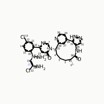 C[C@@H]1CCC[C@H](n2cnc(-c3cc(Cl)ccc3N(N)/C=C(\N)Cl)cc2=O)c2cc(ccn2)-c2[nH]ncc2NC1=O